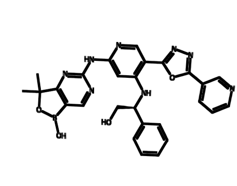 CC1(C)OB(O)c2cnc(Nc3cc(N[C@H](CO)c4ccccc4)c(-c4nnc(-c5cccnc5)o4)cn3)nc21